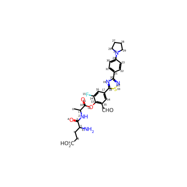 CC(NC(=O)C(N)CCC(=O)O)C(=O)Oc1c(F)cc(-c2nc(-c3ccc(N4CCCC4)cc3)ns2)cc1C=O